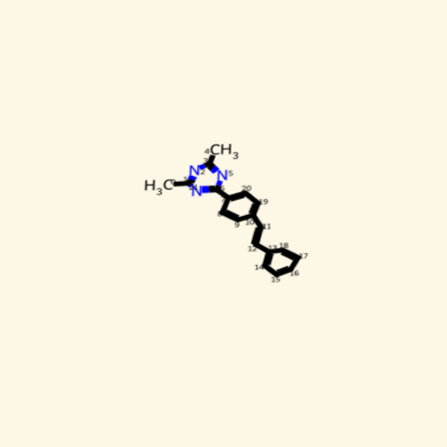 Cc1nc(C)nc(-c2ccc(C=Cc3ccccc3)cc2)n1